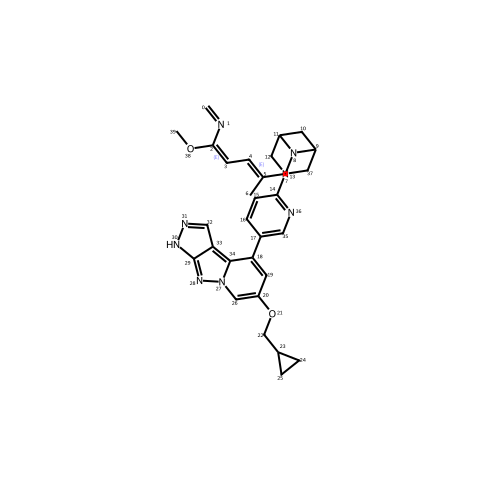 C=N/C(=C\C=C(/C)CN1C2CC1CN(c1ccc(-c3cc(OCC4CC4)cn4nc5[nH]ncc5c34)cn1)C2)OC